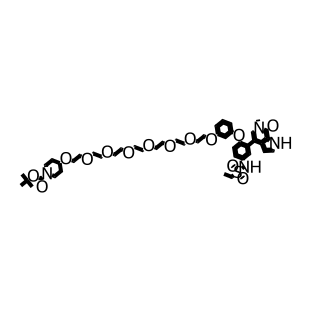 CCS(=O)(=O)Nc1ccc(Oc2cccc(OCCOCCOCCOCCOCCOCCOCCOC3CCN(C(=O)OC(C)(C)C)CC3)c2)c(-c2cn(C)c(=O)c3[nH]ccc23)c1